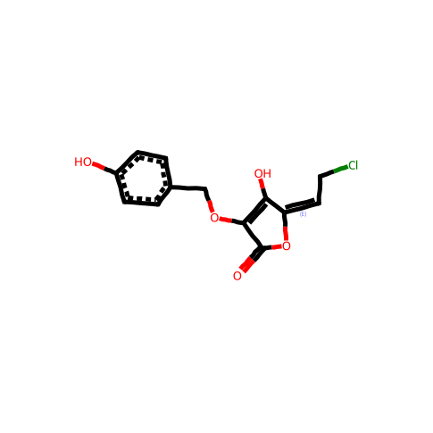 O=C1O/C(=C/CCl)C(O)=C1OCc1ccc(O)cc1